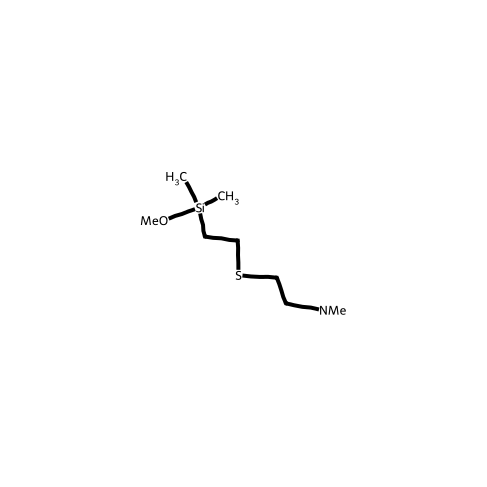 CNCCSCC[Si](C)(C)OC